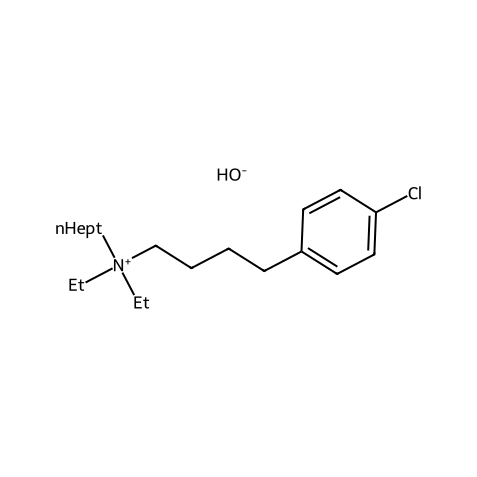 CCCCCCC[N+](CC)(CC)CCCCc1ccc(Cl)cc1.[OH-]